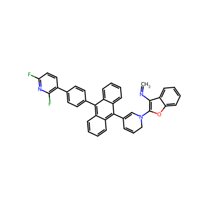 C=Nc1c(N2C=C(c3c4ccccc4c(-c4ccc(-c5ccc(F)nc5F)cc4)c4ccccc34)C=CC2)oc2ccccc12